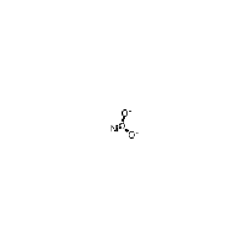 [Ni+2].[O-]O[O-]